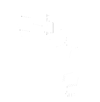 CC(=O)Nc1ccc(CC[S+]([O-])N2CCC3(CC2)N=C(C2CC(C)(C)CC(C)(C)C2)NC3=O)c(C)c1